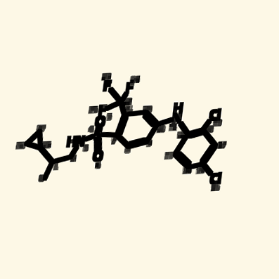 CC(CNS(=O)(=O)c1ccc(Nc2ccc(Cl)cc2Cl)cc1C(F)(F)F)C1CC1